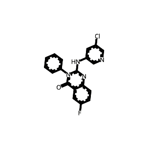 O=c1c2cc(F)ccc2nc(Nc2cncc(Cl)c2)n1-c1ccccc1